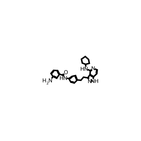 Nc1cccc(C(=O)Nc2ccc(CCc3n[nH]c4ccnc(NC5CCCCC5)c34)cc2)c1